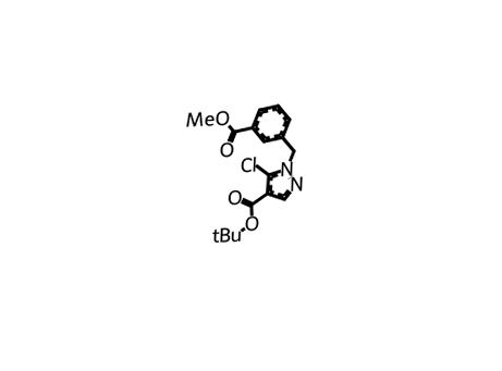 COC(=O)c1cccc(Cn2ncc(C(=O)OC(C)(C)C)c2Cl)c1